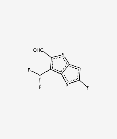 O=Cc1sc2cc(F)sc2c1C(F)F